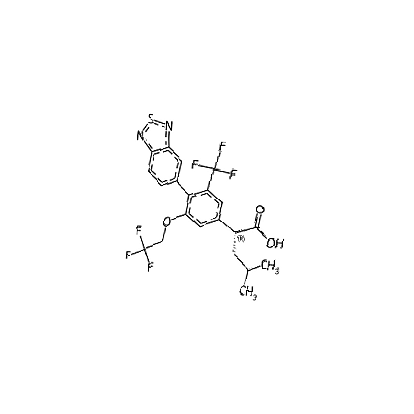 CC(C)C[C@@H](C(=O)O)c1cc(OCC(F)(F)F)c(-c2ccc3nsnc3c2)c(C(F)(F)F)c1